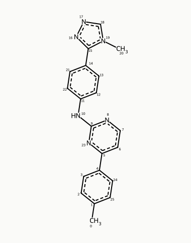 Cc1ccc(-c2ccnc(Nc3ccc(-c4nncn4C)cc3)n2)cc1